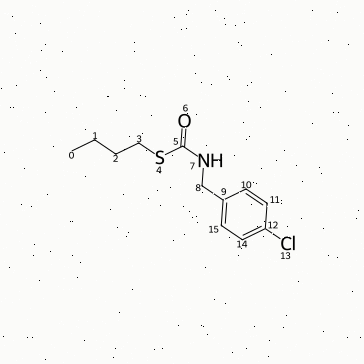 CCCCSC(=O)NCc1ccc(Cl)cc1